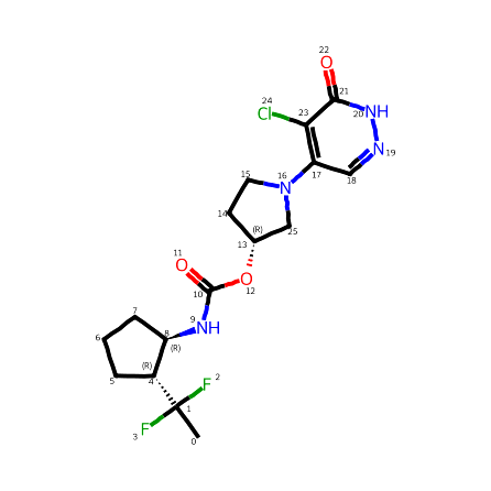 CC(F)(F)[C@@H]1CCC[C@H]1NC(=O)O[C@@H]1CCN(c2cn[nH]c(=O)c2Cl)C1